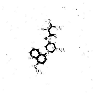 COc1ccc(N2C[C@@H](C)C[C@@H](NC(=O)[C@@H](I)C(C)C)C2)c2cccnc12